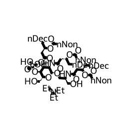 CCCCCCCCCCC[C@H](CC(=O)N[C@@H](CO)CO[C@@H]1O[C@H](CO)[C@@H](OP(=O)(O)O)[C@H](OC(=O)C[C@@H](CCCCCCCCCCC)OC(=O)CCCCCCCCC)[C@H]1NC(=O)C[C@@H](CCCCCCCCCCC)OC(=O)CCCCCCCCC)OC(=O)CCCCCCCCC.CCN(CC)CC